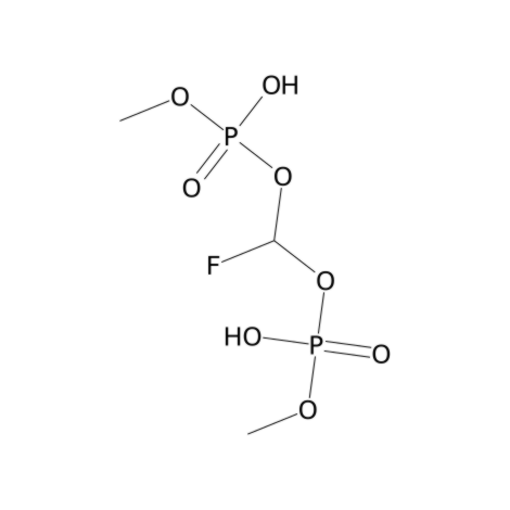 COP(=O)(O)OC(F)OP(=O)(O)OC